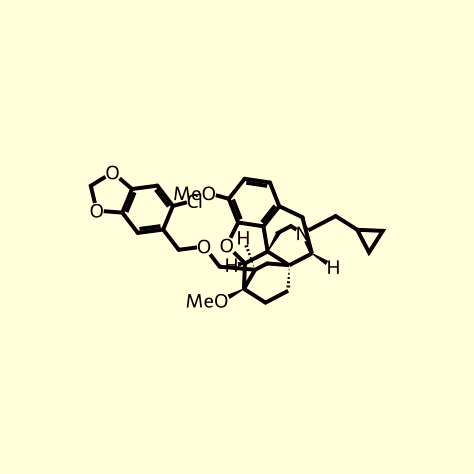 COc1ccc2c3c1O[C@H]1[C@@]4(OC)CC[C@@]5(C[C@@H]4COCc4cc6c(cc4Cl)OCO6)[C@@H](C2)N(CC2CC2)CC[C@]315